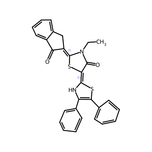 CCn1c(=O)/c(=C2/NC(c3ccccc3)=C(c3ccccc3)S2)s/c1=C1/Cc2ccccc2C1=O